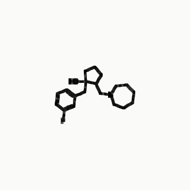 OC1(Cc2cccc(F)c2)CCCC1CN1CCCCCC1